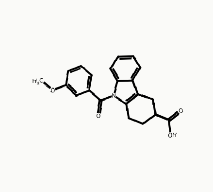 COc1cccc(C(=O)n2c3c(c4ccccc42)CC(C(=O)O)CC3)c1